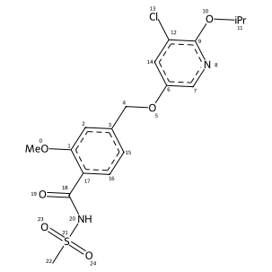 COc1cc(COc2cnc(OC(C)C)c(Cl)c2)ccc1C(=O)NS(C)(=O)=O